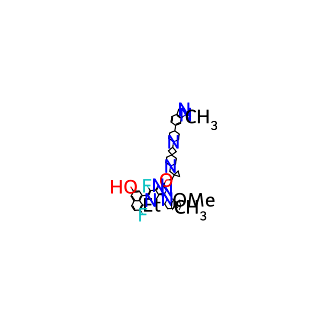 CCc1c(F)ccc2cc(O)cc(-c3ncc4c(N5CCC[C@@](C)(OC)C5)nc(OCC5(CN6CCC7(CC6)CC(N6CCC(c8ccc9cnn(C)c9c8)CC6)C7)CC5)nc4c3F)c12